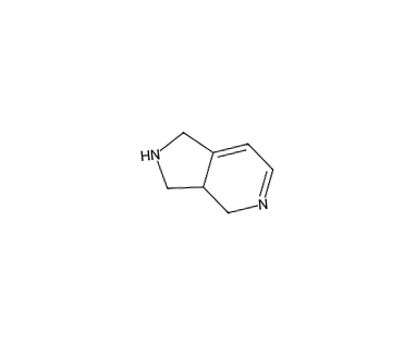 C1=NCC2CNCC2=C1